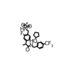 CC(C(=O)NCc1ccc(C(F)(F)F)cc1OC1CCCC1)c1ccc(CNS(C)(=O)=O)c(F)c1